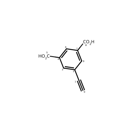 C#Cc1cc(C(=O)O)cc(C(=O)O)c1